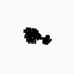 [2H]c1c([2H])c([2H])c(N(C(=O)C([2H])([2H])C([2H])([2H])[2H])C2(OC)CCN(CCn3nnn(CC)c3=O)CC2)c([2H])c1[2H]